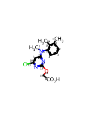 Cc1cccc(N(C)c2cc(Cl)nc(OCC(=O)O)n2)c1C